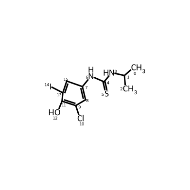 CC(C)NC(=S)Nc1cc(Cl)c(O)c(I)c1